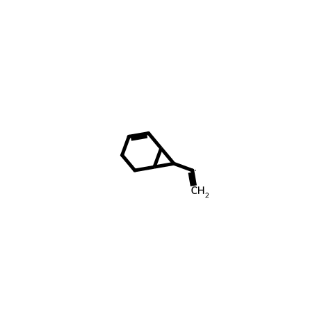 C=[C]C1C2C=CCCC12